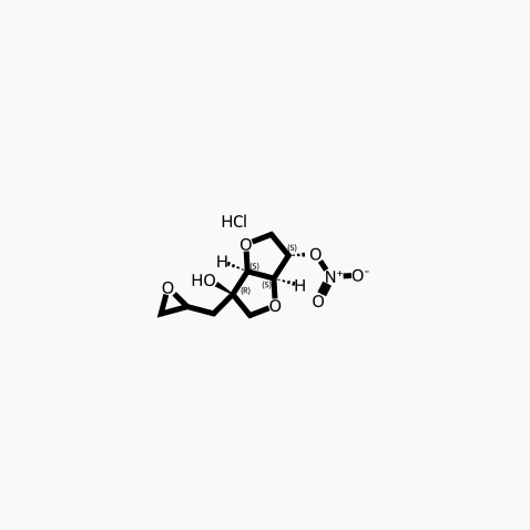 Cl.O=[N+]([O-])O[C@H]1CO[C@H]2[C@@H]1OC[C@]2(O)CC1CO1